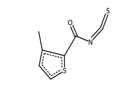 Cc1ccsc1C(=O)N=C=S